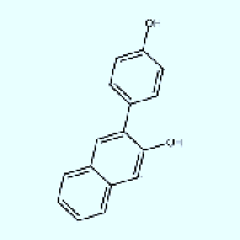 Oc1ccc(-c2cc3ccccc3[c]c2O)cc1